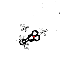 C[N+]12CC[N+](F)(CC1)[C@@H](c1ccc3ccccc3c1)[C@@H]2c1ccc2ccccc2c1.O=S(=O)([O-])C(F)(F)F.O=S(=O)([O-])C(F)(F)F